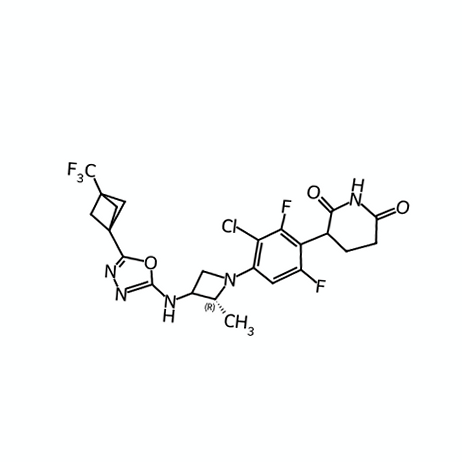 C[C@@H]1C(Nc2nnc(C34CC(C(F)(F)F)(C3)C4)o2)CN1c1cc(F)c(C2CCC(=O)NC2=O)c(F)c1Cl